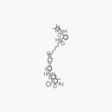 CC(=O)c1c(C)c2cnc(Nc3ccc(N4CCN(C(=O)CCCCCCC(=O)Nc5ccccc5C(=O)Nc5nc(C)c(C)s5)CC4)cn3)nc2n(C2CCCC2)c1=O